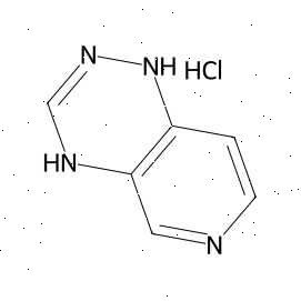 C1=NNc2ccncc2N1.Cl